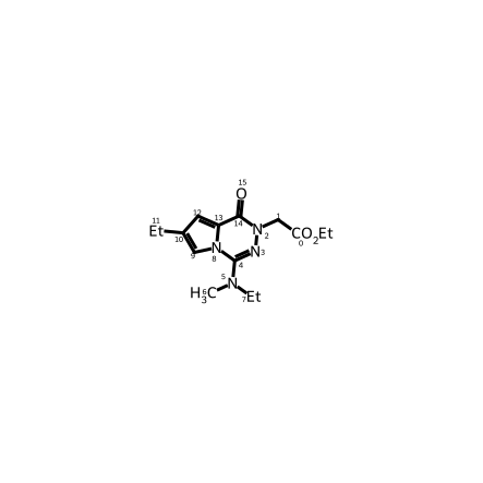 CCOC(=O)Cn1nc(N(C)CC)n2cc(CC)cc2c1=O